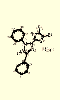 Br.CCc1nc(N2N=C(c3ccccc3)NN2c2ccccc2)sc1CC